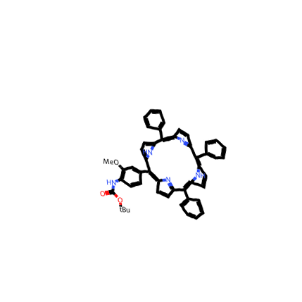 COc1cc(-c2c3nc(c(-c4ccccc4)c4ccc([nH]4)c(-c4ccccc4)c4nc(c(-c5ccccc5)c5ccc2[nH]5)C=C4)C=C3)ccc1NC(=O)OC(C)(C)C